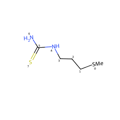 CSCCCNC(N)=S